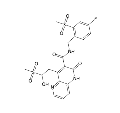 CS(=O)(=O)c1cc(F)ccc1CNC(=O)c1c(CC(O)S(C)(=O)=O)c2ncccc2[nH]c1=O